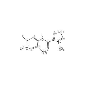 Cc1cc(NC(=O)c2n[nH]cc2[N+](=O)[O-])c(N)cc1Cl